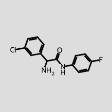 NC(C(=O)Nc1ccc(F)cc1)c1cccc(Cl)c1